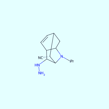 CC(C)N1C2CC3C=CC2C(NN)C1[C@@H]3C#N